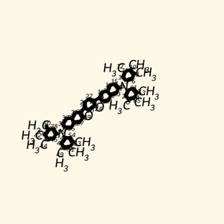 Cc1cc(N(c2cc(C)c(C)c(C)c2)c2ccc3cc4c(cc3c2)oc2c4ccc3c4cc5ccc(N(c6cc(C)c(C)c(C)c6)c6cc(C)c(C)c(C)c6)cc5cc4oc32)cc(C)c1C